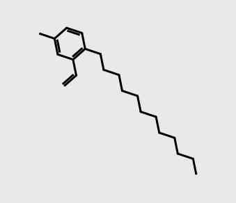 C=Cc1cc(C)ccc1CCCCCCCCCCCC